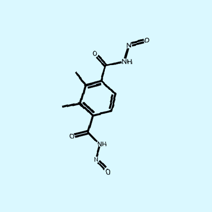 Cc1c(C(=O)NN=O)ccc(C(=O)NN=O)c1C